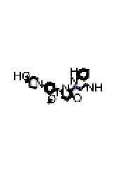 COc1cc(N2CCC(C)(O)CC2)ccc1-n1ccc(=O)c(/C(=C/C=N)Nc2ccccc2)n1